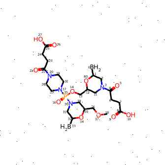 BC1CN(C(=O)CCC(=O)O)CC(COP(=O)(N2CCN(C(=O)CCC(=O)O)CC2)N2CC(B)OC(COC)C2)O1